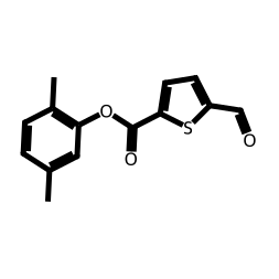 Cc1ccc(C)c(OC(=O)c2ccc(C=O)s2)c1